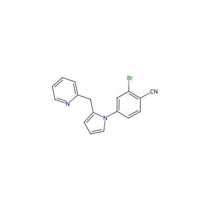 N#Cc1ccc(-n2cccc2Cc2ccccn2)cc1Br